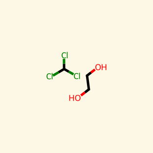 ClC(Cl)Cl.OCCO